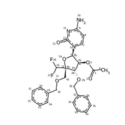 CC(=O)O[C@@H]1[C@H](n2ccc(N)nc2=O)O[C@@](COCc2ccccc2)(C(F)F)[C@H]1OCc1ccccc1